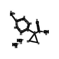 [B+2]c1ccc(C2(C(=O)O)CC2)cc1.[OH-].[OH-]